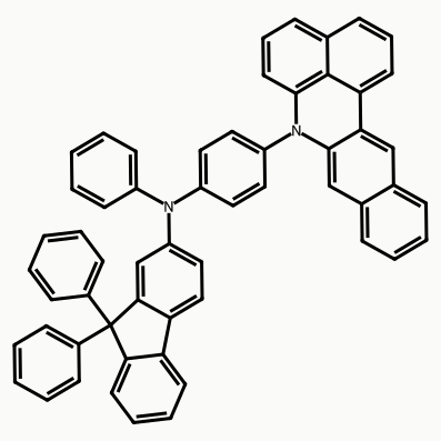 c1ccc(N(c2ccc(N3c4cc5ccccc5cc4-c4cccc5cccc3c45)cc2)c2ccc3c(c2)C(c2ccccc2)(c2ccccc2)c2ccccc2-3)cc1